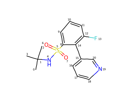 CC(C)(C)NS(=O)(=O)c1cccc(F)c1-c1cccnc1